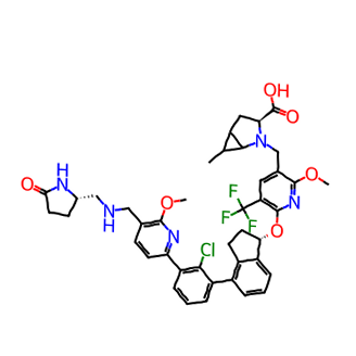 COc1nc(-c2cccc(-c3cccc4c3CC[C@@H]4Oc3nc(OC)c(CN4C5C(C)C5C[C@H]4C(=O)O)cc3C(F)(F)F)c2Cl)ccc1CNC[C@@H]1CCC(=O)N1